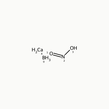 B.O=NO.[CaH2]